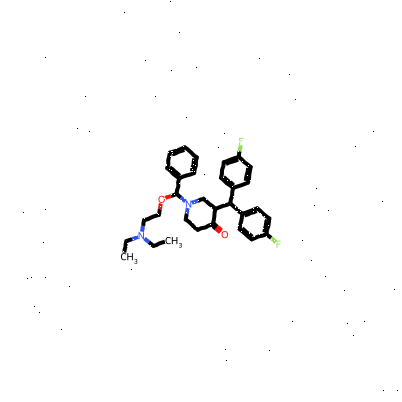 CCN(CC)CCOC(c1ccccc1)N1CCC(=O)C(C(c2ccc(F)cc2)c2ccc(F)cc2)C1